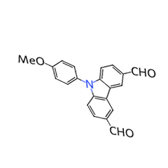 COc1ccc(-n2c3ccc(C=O)cc3c3cc(C=O)ccc32)cc1